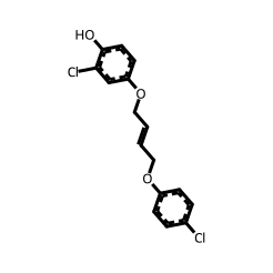 Oc1ccc(OC/C=C/COc2ccc(Cl)cc2)cc1Cl